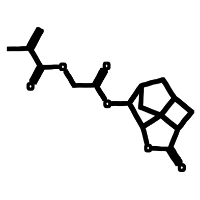 C=C(C)C(=O)OCC(=O)OC1C2CC3CC4C(=O)OC1C34C2